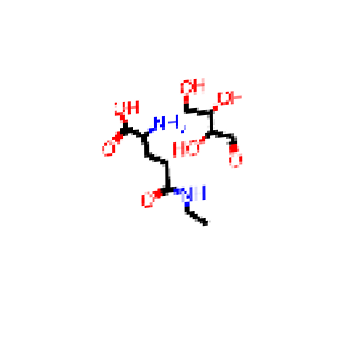 CCNC(=O)CCC(N)C(=O)O.O=CC(O)C(O)CO